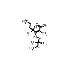 CCCC(C)(C)C(OOC(C)(C)CC)=C(C)C(=O)O